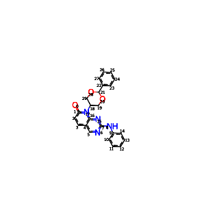 O=c1ccc2cnc(Nc3ccccc3)nc2n1C1COC(c2ccccc2)OC1